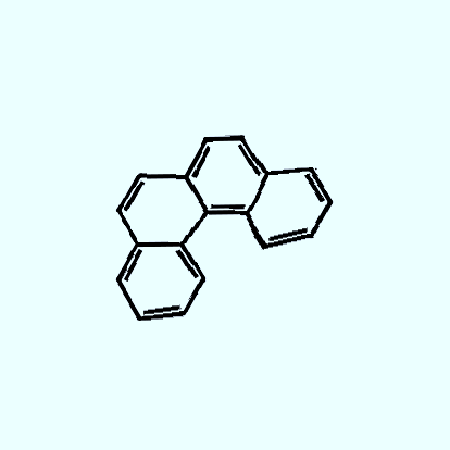 [c]1cccc2c1ccc1ccc3ccccc3c12